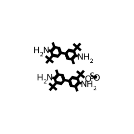 Cc1cc(-c2cc(C)c(N)c(C(C)(C)C)c2)cc(C(C)(C)C)c1N.Cc1cc(-c2cc(C)c(N)c(C(C)(C)C)c2)cc(C(C)(C)C)c1N.O=S=O